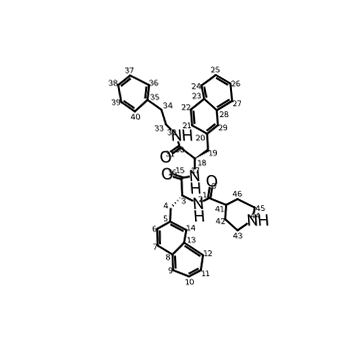 O=C(N[C@H](Cc1ccc2ccccc2c1)C(=O)N[C@H](Cc1ccc2ccccc2c1)C(=O)NCCc1ccccc1)C1CCNCC1